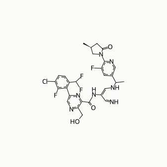 CC(N/C=C(\C=N)NC(=O)c1nc(-c2c(C(F)F)ccc(Cl)c2F)cnc1CO)c1cnc(N2C[C@@H](C)CC2=O)c(F)c1